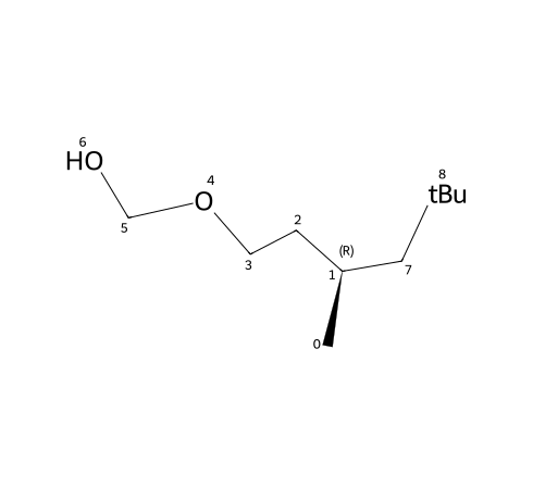 C[C@@H](CCOCO)CC(C)(C)C